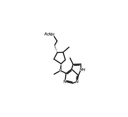 CC(=O)NCC[C@H]1C[C@H](N(C)c2ncnc3[nH]cc(C)c23)CC1C